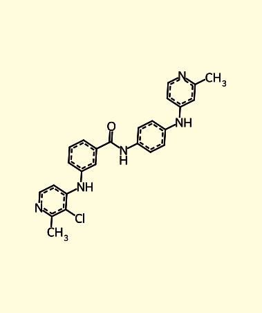 Cc1cc(Nc2ccc(NC(=O)c3cccc(Nc4ccnc(C)c4Cl)c3)cc2)ccn1